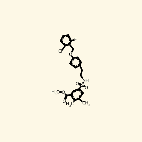 COC(=O)c1cc(S(=O)(=O)NCCc2ccc(OCc3c(F)cccc3Cl)cc2)cc(C)c1C